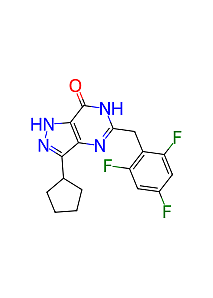 O=c1[nH]c(Cc2c(F)cc(F)cc2F)nc2c(C3CCCC3)n[nH]c12